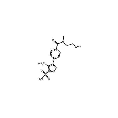 CNCCN(C)C(=O)c1ccc(-c2ccn(S(N)(=O)=O)c2C(=O)O)cc1